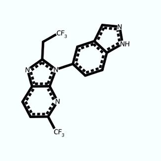 FC(F)(F)Cc1nc2ccc(C(F)(F)F)nc2n1-c1ccc2[nH]ncc2c1